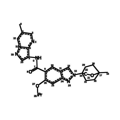 Cc1cnc2c(NC(=O)c3cc4cn(C56CCC(C)(CC5)OC6)nc4cc3OC(C)C)cnn2c1